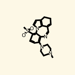 CN1CCN(c2ccc(S(C)(=O)=O)c3c2N=CC2=CCCc4ccn-3c42)CC1